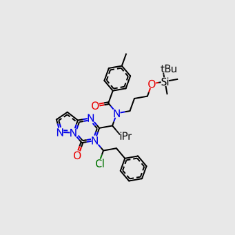 Cc1ccc(C(=O)N(CCCO[Si](C)(C)C(C)(C)C)C(c2nc3ccnn3c(=O)n2C(Cl)Cc2ccccc2)C(C)C)cc1